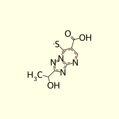 CC(O)c1nc2ncc(C(=O)O)c([S])n2n1